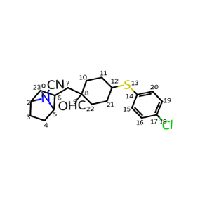 N#CN1C2CCC1C(CC1(C=O)CCC(Sc3ccc(Cl)cc3)CC1)C2